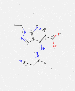 CCn1ncc2c(N/N=C(\C)CC#N)c(C(=O)O)cnc21